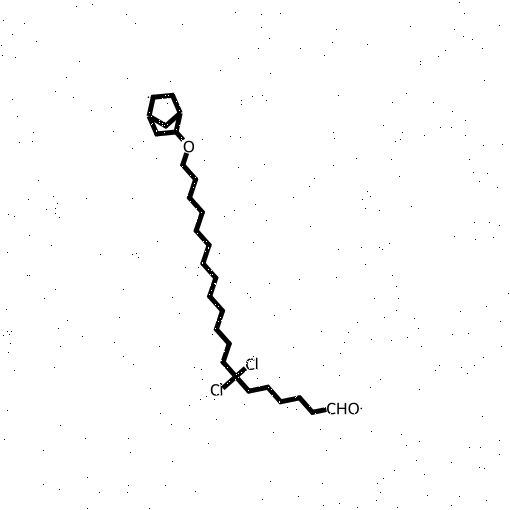 O=[C]CCCCCC(Cl)(Cl)CCCCCCCCCCCCCOC1CC2[CH]CC1C2